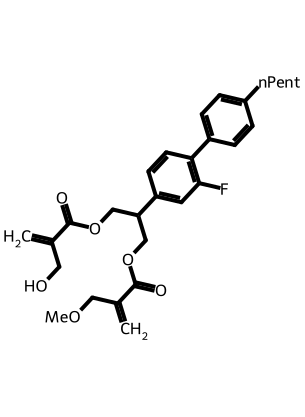 C=C(CO)C(=O)OCC(COC(=O)C(=C)COC)c1ccc(-c2ccc(CCCCC)cc2)c(F)c1